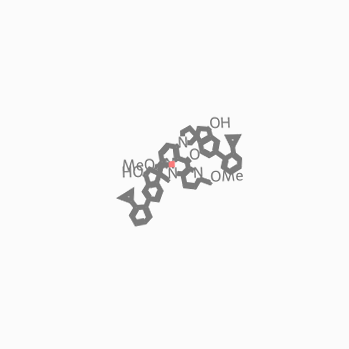 COCc1ccc(N2CCC3(CC(O)c4cc(-c5ccccc5C5CC5)ccc43)C2)c(C(=O)c2nc(COC)ccc2N2CCC3(CC(O)c4cc(-c5ccccc5C5CC5)ccc43)C2)n1